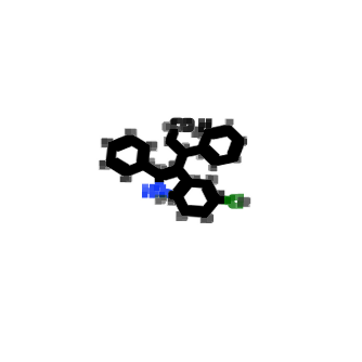 O=C(O)CC(c1ccccc1)c1c(-c2ccccc2)[nH]c2ccc(Cl)cc12